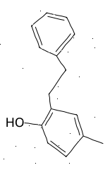 Cc1ccc(O)c(CCc2ccccc2)c1